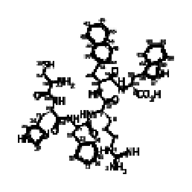 N=C(N)NCCC[C@H](NC(=O)[C@@H](Cc1ccccc1)NC(=O)[C@H](Cc1c[nH]cn1)NC(=O)[C@H](N)CS)C(=O)N[C@@H](Cc1ccc2ccccc2c1)C(=O)N[C@H](Cc1c[nH]c2ccccc12)C(=O)O